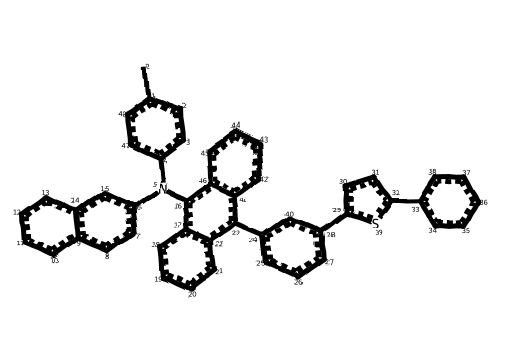 Cc1ccc(N(c2ccc3ccccc3c2)c2c3ccccc3c(-c3cccc(-c4ccc(-c5ccccc5)s4)c3)c3ccccc23)cc1